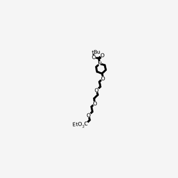 CCOC(=O)COCCOCCOCCOC1CCN(C(=O)OC(C)(C)C)CC1